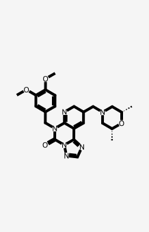 COc1ccc(Cn2c3c(c4ncnn4c2=O)=CC(CN2C[C@@H](C)O[C@@H](C)C2)CN=3)cc1OC